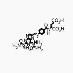 CN(Cc1cnc2nc(N(N)C(N)=O)nc(N(N)C(N)=O)c2n1)c1ccc(C(=O)N[C@@H](CCC(=O)O)C(=O)O)cc1